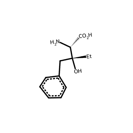 CC[C@@](O)(Cc1ccccc1)[C@H](N)C(=O)O